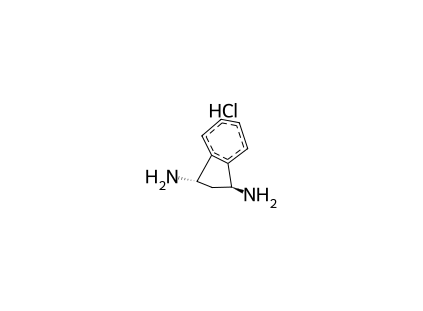 Cl.N[C@H]1C[C@H](N)c2ccccc21